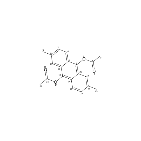 CC(=O)Oc1c2ccc(C)cc2c(OC(C)=O)c2ccc(C)cc12